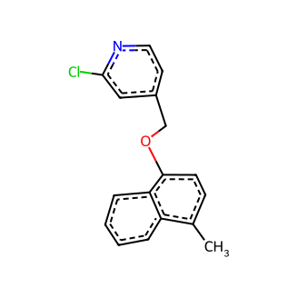 Cc1ccc(OCc2ccnc(Cl)c2)c2ccccc12